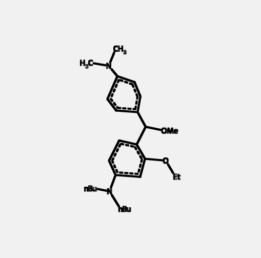 CCCCN(CCCC)c1ccc(C(OC)c2ccc(N(C)C)cc2)c(OCC)c1